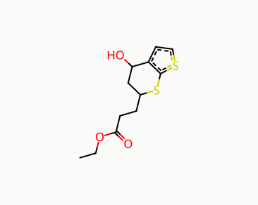 CCOC(=O)CCC1CC(O)c2ccsc2S1